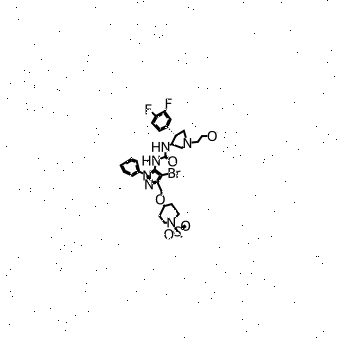 COCCN1C[C@@H](NC(=O)Nc2c(Br)c(COC3CCN(S(C)(=O)=O)CC3)nn2-c2ccccc2)[C@H](c2ccc(F)c(F)c2)C1